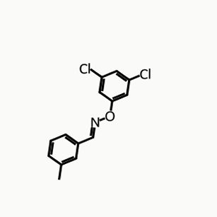 Cc1cccc(/C=N/Oc2cc(Cl)cc(Cl)c2)c1